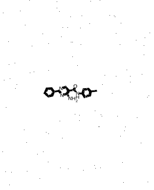 Cc1ccc(NC(=O)c2cnc(-c3ccccc3)nc2N)cc1